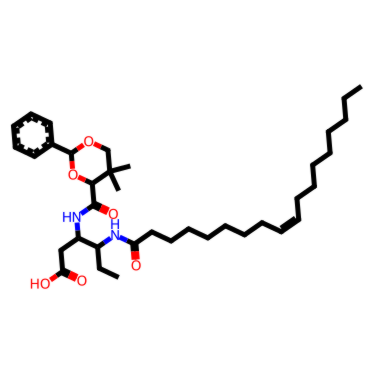 CCCCCCCC/C=C\CCCCCCCC(=O)NC(CC)C(CC(=O)O)NC(=O)C1OC(c2ccccc2)OCC1(C)C